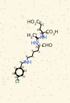 C=C(N[C@H](C=O)CCCCNCc1ccc(Cl)cc1)N[C@@H](CCC(=O)O)C(=O)O